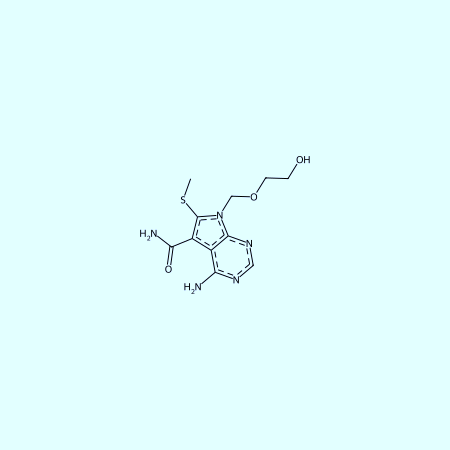 CSc1c(C(N)=O)c2c(N)ncnc2n1COCCO